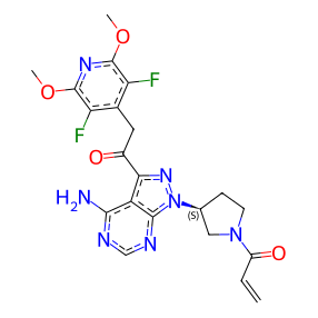 C=CC(=O)N1CC[C@H](n2nc(C(=O)Cc3c(F)c(OC)nc(OC)c3F)c3c(N)ncnc32)C1